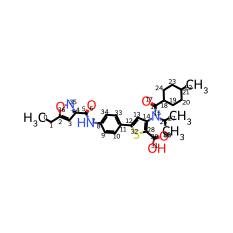 CCc1cc(C(=O)Nc2ccc(-c3cc(N(C(=O)C4CCC(C)CC4)C(C)C)c(C(=O)O)s3)cc2)no1